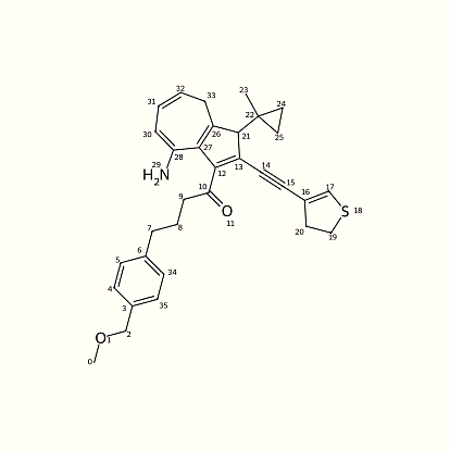 COCc1ccc(CCCC(=O)C2=C(C#CC3=CSCC3)C(C3(C)CC3)C3=C2C(N)=CC=CC3)cc1